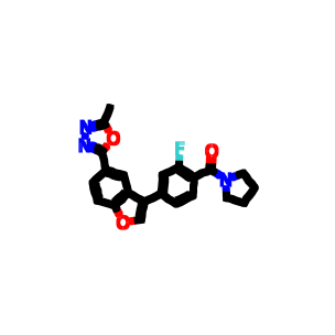 Cc1nnc(-c2ccc3occ(-c4ccc(C(=O)N5CCCC5)c(F)c4)c3c2)o1